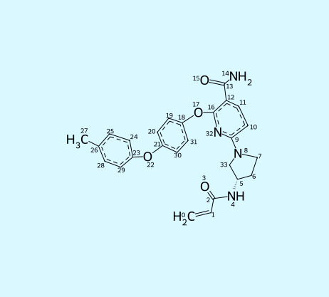 C=CC(=O)N[C@H]1CCN(c2ccc(C(N)=O)c(Oc3ccc(Oc4ccc(C)cc4)cc3)n2)C1